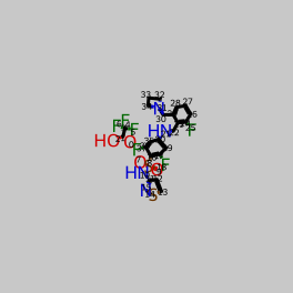 O=C(O)C(F)(F)F.O=S(=O)(Nc1ccsn1)c1c(F)cc(NCc2c(F)cccc2CN2CCC2)cc1F